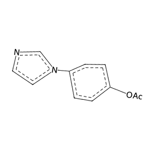 CC(=O)Oc1ccc(-n2ccnc2)cc1